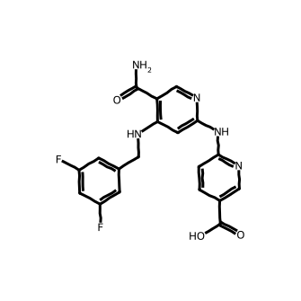 NC(=O)c1cnc(Nc2ccc(C(=O)O)cn2)cc1NCc1cc(F)cc(F)c1